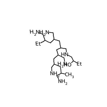 CCC(O)CNCC(CC(CN)CC(CC)CN)CC(CN)CC(CN)CC(C)CN